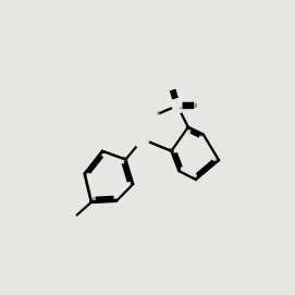 Cc1ccc(Oc2ccccc2S(=O)(=O)Cl)cc1